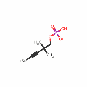 CC(C)(C)C#CC(C)(C)COP(=O)(O)O